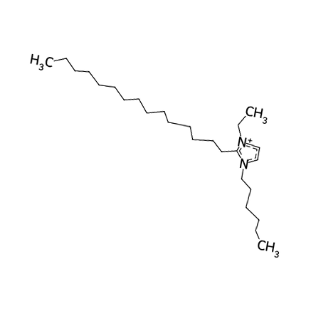 CCCCCCCCCCCCCCCc1n(CCCCCC)cc[n+]1CC